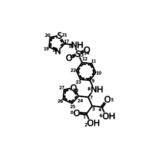 O=C(O)C(C(=O)O)C(Nc1ccc(S(=O)(=O)Nc2nccs2)cc1)c1ccco1